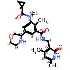 CCN(C(=O)C1CC1)c1cc(C2COCCN2)cc(C(=O)NCc2c(C)cc(C)[nH]c2=O)c1C